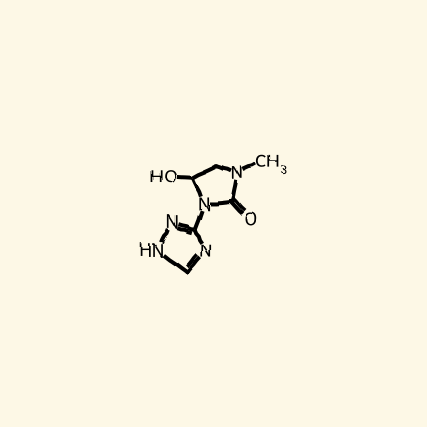 CN1CC(O)N(c2nc[nH]n2)C1=O